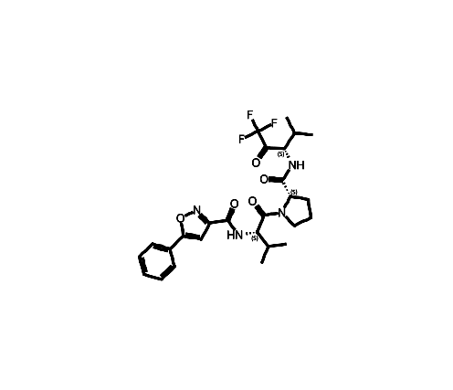 CC(C)[C@H](NC(=O)c1cc(-c2ccccc2)on1)C(=O)N1CCC[C@H]1C(=O)N[C@H](C(=O)C(F)(F)F)C(C)C